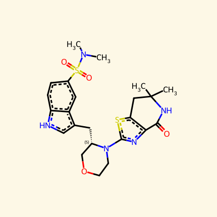 CN(C)S(=O)(=O)c1ccc2[nH]cc(C[C@H]3COCCN3c3nc4c(s3)CC(C)(C)NC4=O)c2c1